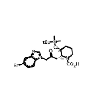 CC(C)(C)[Si](C)(C)O[C@H]1CCCN(C(=O)O)[C@@H]1CC(=O)Cn1cnc2cc(Br)ccc21